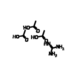 CC(=O)O.CC(=O)O.CC(=O)O.N=C(N)N